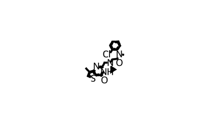 Cc1csc2c(=O)[nH]c(CN(CC(=O)N(C)c3ccccc3Cl)C3CC3)nc12